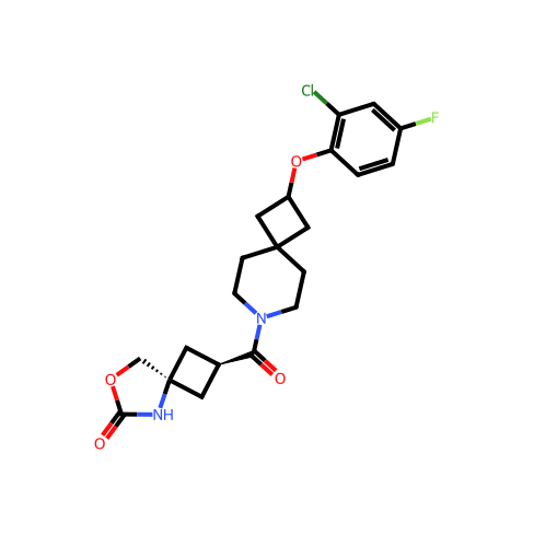 O=C1N[C@]2(CO1)C[C@H](C(=O)N1CCC3(CC1)CC(Oc1ccc(F)cc1Cl)C3)C2